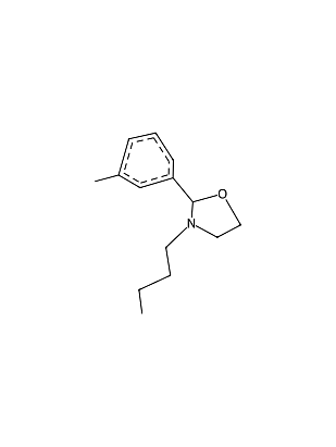 CCCCN1CCOC1c1cccc(C)c1